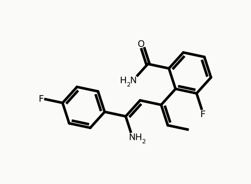 C/C=C(/C=C(\N)c1ccc(F)cc1)c1c(F)cccc1C(N)=O